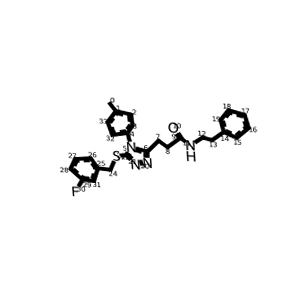 Cc1ccc(-n2c(CCC(=O)NCCc3ccccc3)nnc2SCc2cccc(F)c2)cc1